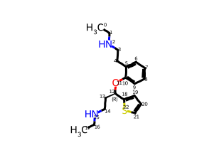 CCNCCc1ccccc1O[C@H](CCNCC)c1cccs1